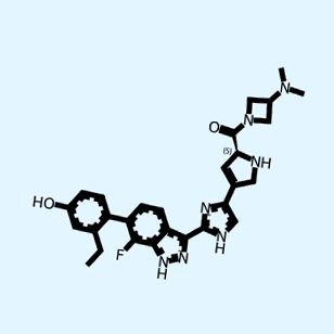 CCc1cc(O)ccc1-c1ccc2c(-c3nc(C4=C[C@@H](C(=O)N5CC(N(C)C)C5)NC4)c[nH]3)n[nH]c2c1F